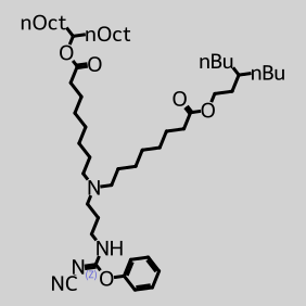 CCCCCCCCC(CCCCCCCC)OC(=O)CCCCCCCN(CCCCCCCC(=O)OCCC(CCCC)CCCC)CCCN/C(=N/C#N)Oc1ccccc1